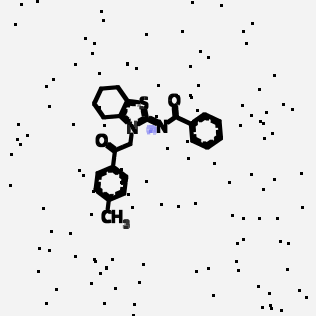 Cc1ccc(C(=O)Cn2c3c(s/c2=N\C(=O)c2ccccc2)CCCC3)cc1